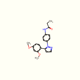 CCC(=O)Nc1ccc(-n2nccc2-c2ccc(OC)cc2OC)cc1